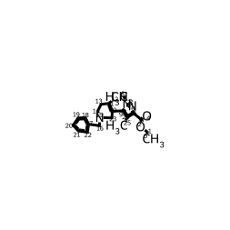 CCOC(=O)c1nn(C)c(C2=C(C)CCN(Cc3ccccc3)C2)c1C